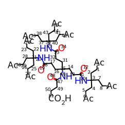 CC(=O)CCC(CCC(C)=O)(CCC(C)=O)NC(=O)CCC(CCC(=O)NC(CCC(C)=O)(CCC(C)=O)CCC(C)=O)(CCC(=O)NC(CCC(C)=O)(CCC(C)=O)CCC(C)=O)NC(=O)CCC(=O)O